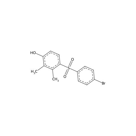 Cc1c(O)ccc(S(=O)(=O)c2ccc(Br)cc2)c1C